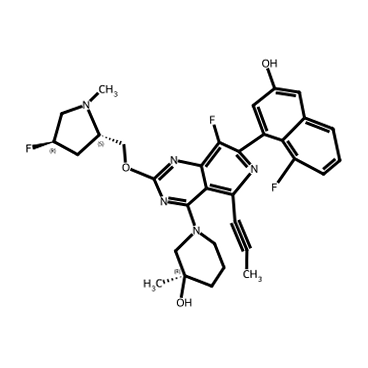 CC#Cc1nc(-c2cc(O)cc3cccc(F)c23)c(F)c2nc(OC[C@@H]3C[C@@H](F)CN3C)nc(N3CCC[C@@](C)(O)C3)c12